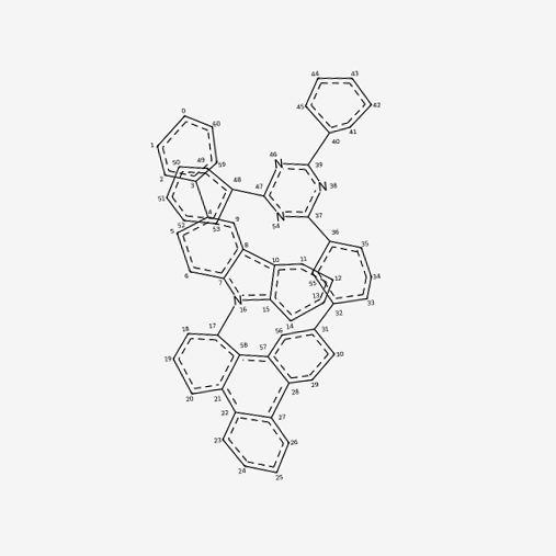 c1ccc(-c2ccc3c(c2)c2ccccc2n3-c2cccc3c4ccccc4c4ccc(-c5cccc(-c6nc(-c7ccccc7)nc(-c7ccccc7)n6)c5)cc4c23)cc1